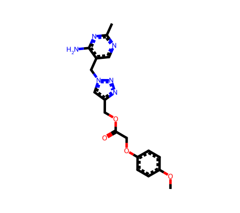 COc1ccc(OCC(=O)OCc2cn(Cc3cnc(C)nc3N)nn2)cc1